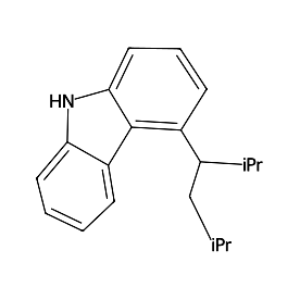 CC(C)CC(c1cccc2[nH]c3ccccc3c12)C(C)C